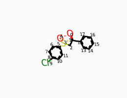 O=C(C[S+]([O-])c1ccc(Cl)cc1)c1ccccc1